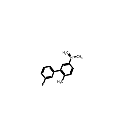 C=[N+](C)c1ccc(C)c(-c2cccc(F)c2)c1